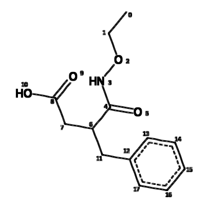 CCONC(=O)C(CC(=O)O)Cc1ccccc1